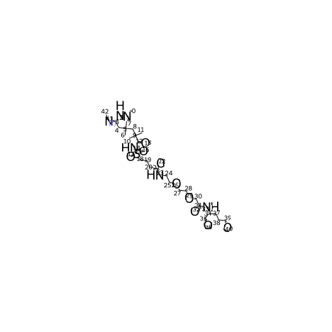 C=NN/C(CC(C)(C)CC(C)(C)C(=O)NS(=O)(=O)CCCC(=O)NCCOCCOCC(=O)NC(C=O)CCC=O)=N\C